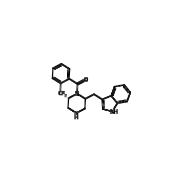 O=C(c1ccccc1C(F)(F)F)N1CCNCC1Cc1c[nH]c2ccccc12